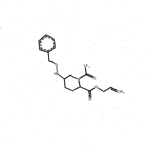 C=CCOC(=O)C1CCC(NOCc2ccccc2)CN1C(=O)C(F)(F)F